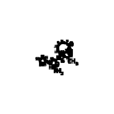 C[C@@H]1C[C@@H]2OC(=O)CCC/C=C\C[C@@H]2[C@H]1CC[C@H](COc1ccccc1)OPP